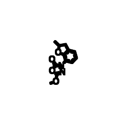 COc1nn(-c2cccc3c2OC(C)C3)c(=O)o1